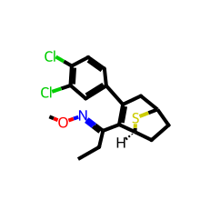 CCC(=NOC)C1=C(c2ccc(Cl)c(Cl)c2)CC2CC[C@@H]1S2